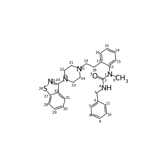 CN(C(=O)NCc1ccccc1)c1ccccc1CCN1CCN(c2nsc3ccccc23)CC1